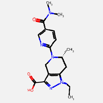 CCn1nc(C(=O)O)c2c1C[C@@H](C)N(c1ccc(C(=O)N(C)C)cn1)C2